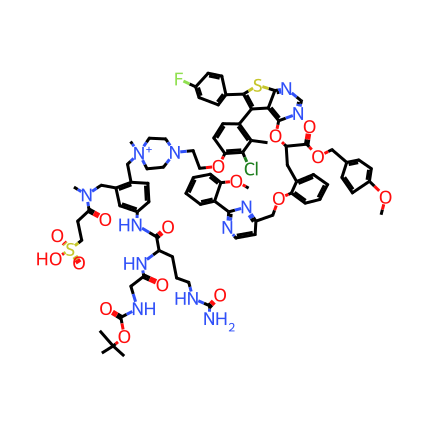 COc1ccc(COC(=O)C(Cc2ccccc2OCc2ccnc(-c3ccccc3OC)n2)Oc2ncnc3sc(-c4ccc(F)cc4)c(-c4ccc(OCCN5CC[N+](C)(Cc6ccc(NC(=O)C(CCCNC(N)=O)NC(=O)CNC(=O)OC(C)(C)C)cc6CN(C)C(=O)CCS(=O)(=O)O)CC5)c(Cl)c4C)c23)cc1